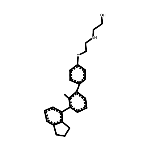 Cc1c(-c2ccc(OCCNCCO)cc2)cccc1-c1cccc2c1CCC2